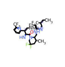 C\C=C(/C=N\C(=C\CC)NCC1[C@H](C)CC(F)(F)CN1C(=O)C(=N)/C(=C\NC)c1cccc(C(F)(F)F)n1)C(F)(F)F